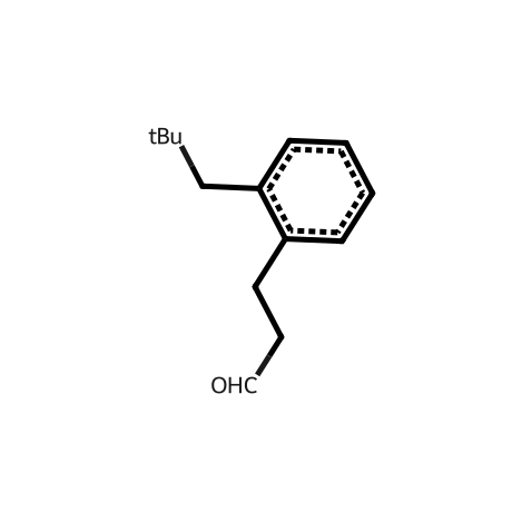 CC(C)(C)Cc1ccccc1CCC=O